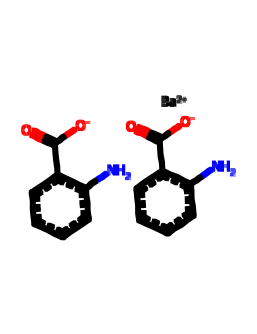 Nc1ccccc1C(=O)[O-].Nc1ccccc1C(=O)[O-].[Ba+2]